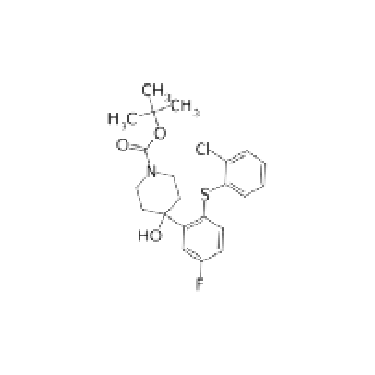 CC(C)(C)OC(=O)N1CCC(O)(c2cc(F)ccc2Sc2ccccc2Cl)CC1